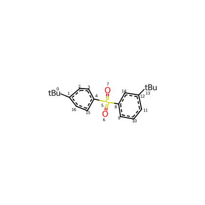 CC(C)(C)c1ccc(S(=O)(=O)c2cccc(C(C)(C)C)c2)cc1